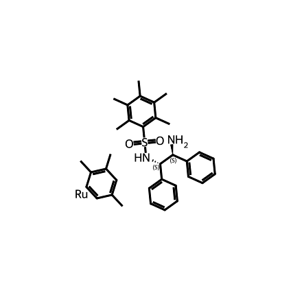 Cc1c(C)c(C)c(S(=O)(=O)N[C@@H](c2ccccc2)[C@@H](N)c2ccccc2)c(C)c1C.Cc1ccc(C)c(C)c1.[Ru]